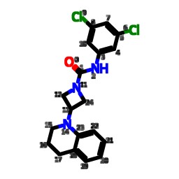 O=C(Nc1cc(Cl)cc(Cl)c1)N1CC(N2CCCc3ccccc32)C1